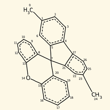 Cc1ccc2c(c1)C1(c3ccccc3Oc3ccccc31)c1cc(C)ccc1-2